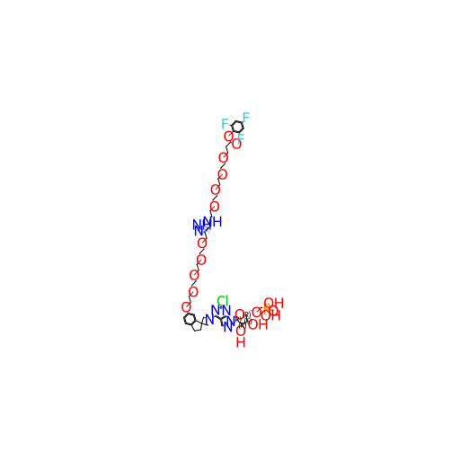 N=N/C(=C\NCCOCCOCCOCCOCCC(=O)Oc1c(F)cc(F)cc1F)COCCOCCOCCOCCOc1ccc2c(c1)C1(CC2)CN(c2nc(Cl)nc3c2cnn3[C@@H]2O[C@H](COCP(=O)(O)O)[C@@H](O)[C@H]2O)C1